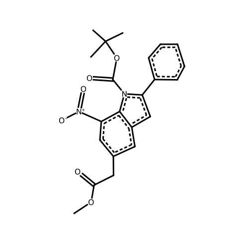 COC(=O)Cc1cc([N+](=O)[O-])c2c(c1)cc(-c1ccccc1)n2C(=O)OC(C)(C)C